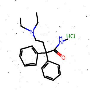 CCN(CC)CCC(C(=O)NC)(c1ccccc1)c1ccccc1.Cl